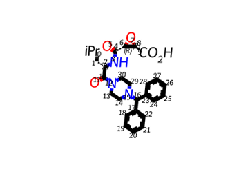 CC(C)C[C@H](NC(=O)[C@@H]1O[C@H]1C(=O)O)C(=O)N1CCN(C(c2ccccc2)c2ccccc2)CC1